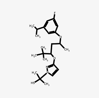 CC(CC(Oc1ccn(C(C)(C)S)n1)C(C)(C)C)Oc1cc(F)cc(C(C)C)c1